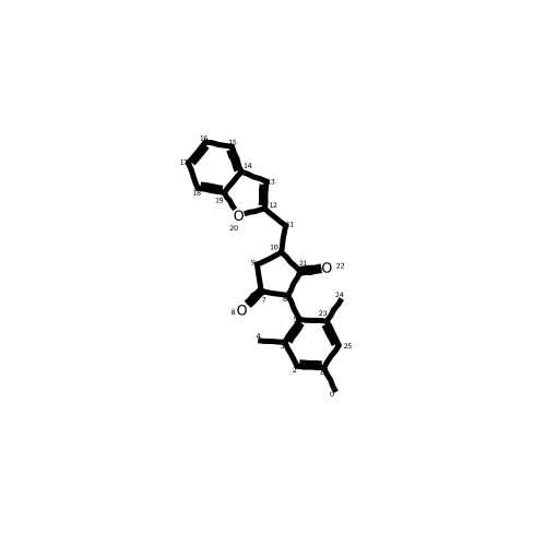 Cc1cc(C)c(C2C(=O)CC(Cc3cc4ccccc4o3)C2=O)c(C)c1